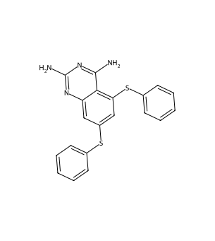 Nc1nc(N)c2c(Sc3ccccc3)cc(Sc3ccccc3)cc2n1